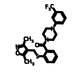 Cc1noc(C)c1CSc1ccccc1C(=O)N1CCN(c2cccc(C(F)(F)F)c2)CC1